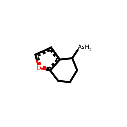 [AsH2]C1CCCc2occc21